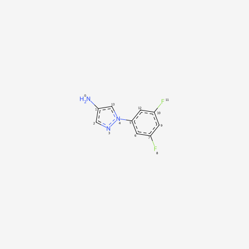 Nc1cnn(-c2cc(F)cc(F)c2)c1